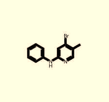 Cc1cnc(Nc2ccccc2)cc1Br